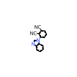 N#Cc1cccc(-n2cnc3ccccc32)c1C#N